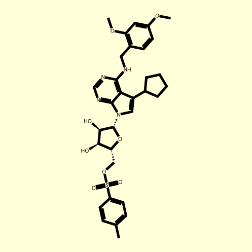 COc1ccc(CNc2ncnc3c2c(C2CCCC2)cn3[C@@H]2O[C@H](COS(=O)(=O)c3ccc(C)cc3)[C@@H](O)[C@H]2O)c(OC)c1